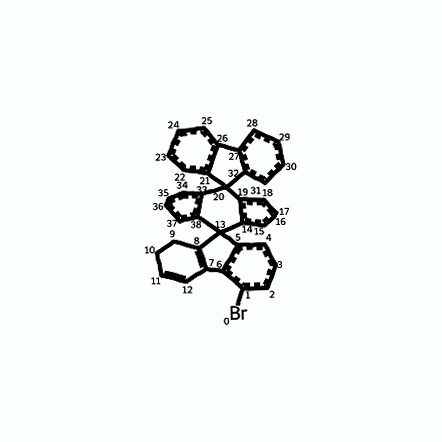 Brc1cccc2c1C1=C(CCC=C1)C21c2ccccc2C2(c3ccccc3-c3ccccc32)c2ccccc21